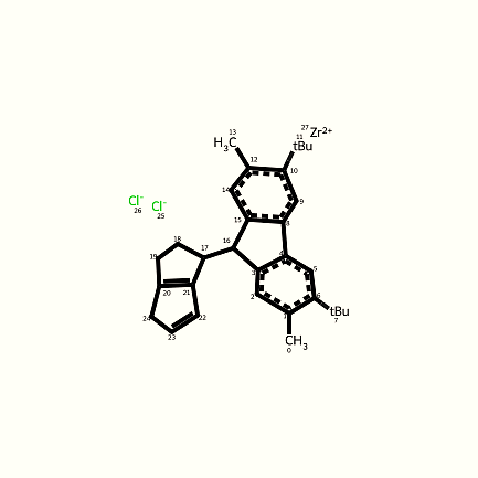 Cc1cc2c(cc1C(C)(C)C)-c1cc(C(C)(C)C)c(C)cc1C2C1CCC2=C1C=CC2.[Cl-].[Cl-].[Zr+2]